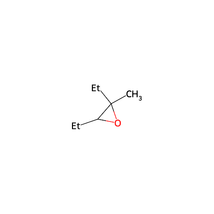 CCC1OC1(C)CC